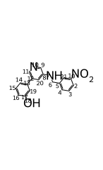 O=[N+]([O-])c1cccc(CNc2cncc(-c3cccc(O)c3)c2)c1